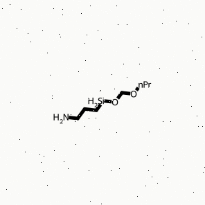 CCCOCO[SiH2]CCCN